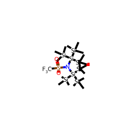 C[Si](C)(C)[Si](N([Si]([Si](C)(C)C)([Si](C)(C)C)[Si](C)(C)C)S(=O)(=O)C(F)(F)F)([Si](C)(C)C)[Si](C)(C)C